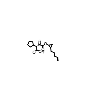 C=CCCCC1C[C@H]1OC(=O)N[C@H](C(=O)O)C1CCCC1